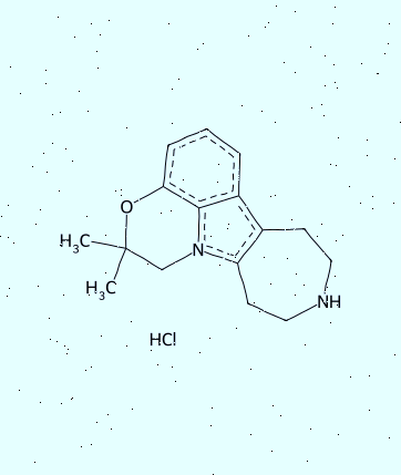 CC1(C)Cn2c3c(c4cccc(c42)O1)CCNCC3.Cl